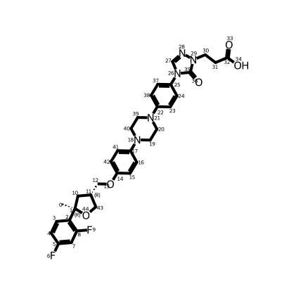 C[C@]1(c2ccc(F)cc2F)C[C@H](COc2ccc(N3CCN(c4ccc(-n5cnn(CCC(=O)O)c5=O)cc4)CC3)cc2)CO1